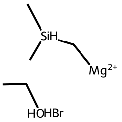 Br.CCO.C[SiH](C)[CH2][Mg+2]